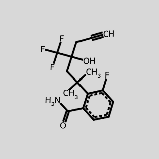 C#CCC(O)(CC(C)(C)c1c(F)cccc1C(N)=O)C(F)(F)F